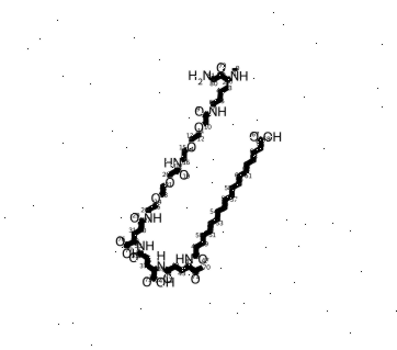 CN[C@@H](CCCCNC(=O)COCCOCCNC(=O)COCCOCCNC(=O)CCC(NC(=O)CCC(NC(=O)CCC(NC(=O)CCCCCCCCCCCCCCCCCCC(=O)O)C(C)=O)C(=O)O)C(=O)O)C(=O)CN